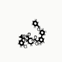 O=C(C(O)c1cccc(-c2cccc(OCc3ccccc3)c2)c1)N1CCCc2nc(C3(c4cccc(Cl)c4)CC3)[nH]c(=O)c2C1